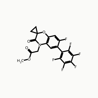 COC(=O)CN1C(=O)C2(CC2)Oc2cc(F)c(-c3c(F)c(F)c(F)c(F)c3F)cc21